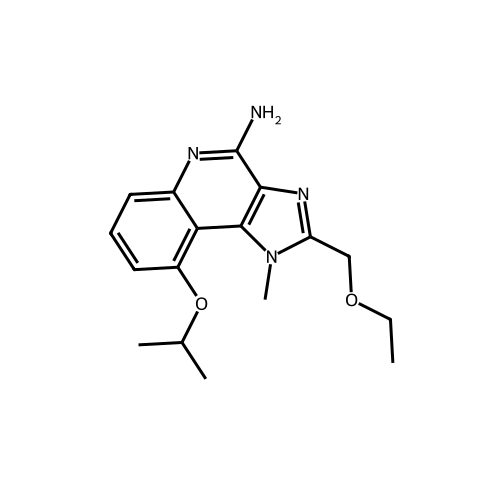 CCOCc1nc2c(N)nc3cccc(OC(C)C)c3c2n1C